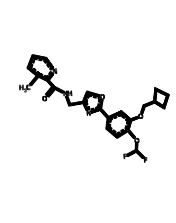 Cc1cccnc1C(=O)NCc1coc(-c2ccc(OC(F)F)c(OCC3CCC3)c2)n1